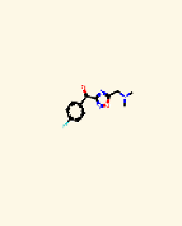 CN(C)Cc1nc(C(=O)c2ccc(F)cc2)no1